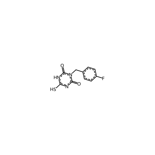 O=c1nc(S)[nH]c(=O)n1Cc1ccc(F)cc1